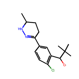 CC1CCC(c2ccc(Cl)c(C([O])C(C)(C)C)c2)=NN1